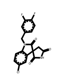 O=C1CC2(C(=O)N1)C(=O)N(Cc1ccc(F)c(F)c1)c1ccc(Cl)cc12